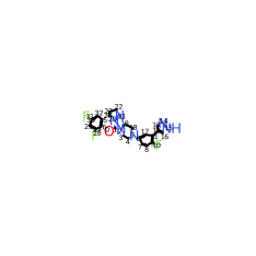 O=C(N1CCN(c2ccc(F)c(-c3cn[nH]c3)c2)CC1)N1N=CC[C@H]1c1cc(F)cc(F)c1